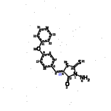 NN1C(=O)/C(=C/c2ccc(Oc3ccccc3)cc2)SC1=S